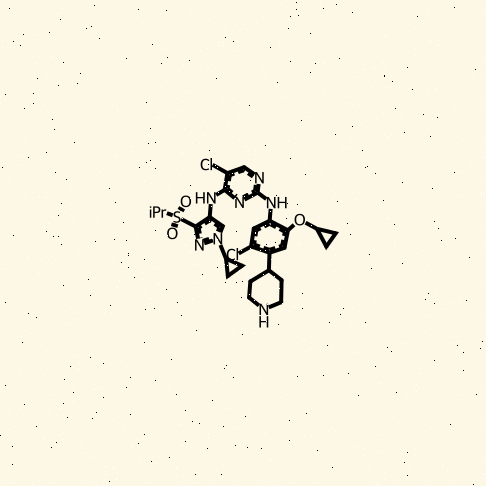 CC(C)S(=O)(=O)c1nn(C2CC2)cc1Nc1nc(Nc2cc(Cl)c(C3CCNCC3)cc2OC2CC2)ncc1Cl